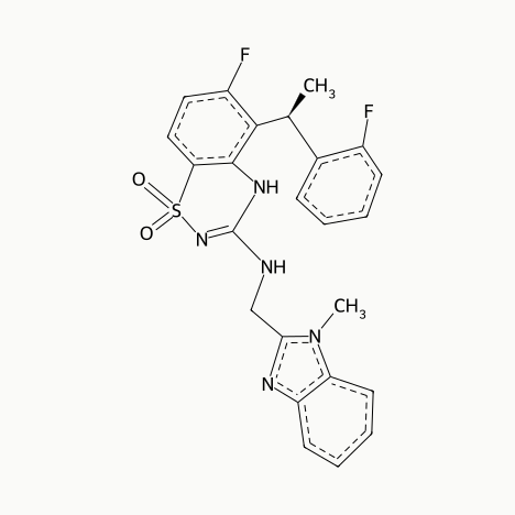 C[C@@H](c1ccccc1F)c1c(F)ccc2c1NC(NCc1nc3ccccc3n1C)=NS2(=O)=O